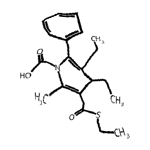 CCSC(=O)C1=C(C)N(C(=O)O)C(c2ccccc2)=C(CC)C1CC